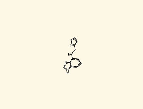 c1coc(CNc2cccc3[nH]cnc23)c1